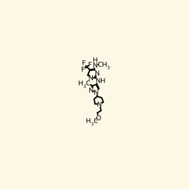 CNc1nc(Nc2cn(C3CCN(CCOC)CC3)nc2C)ncc1C(F)(F)F